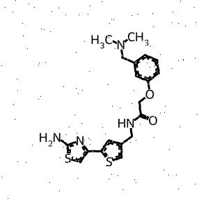 CN(C)Cc1cccc(OCC(=O)NCc2csc(-c3csc(N)n3)c2)c1